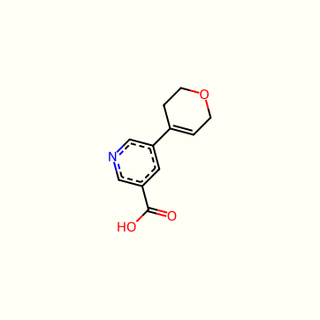 O=C(O)c1cncc(C2=CCOCC2)c1